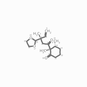 C=C[C@](C)(CC(=O)[C@@]1(C)C(=O)CCC[C@H]1C)C1OCCO1